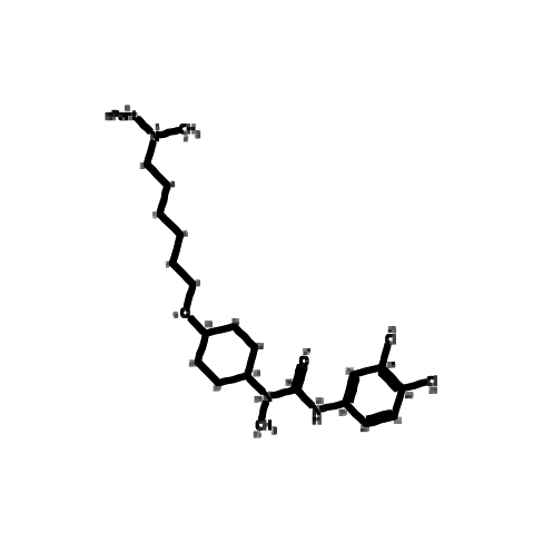 CCCCCN(C)CCCCCCOC1CCC(N(C)C(=O)Nc2ccc(Cl)c(Cl)c2)CC1